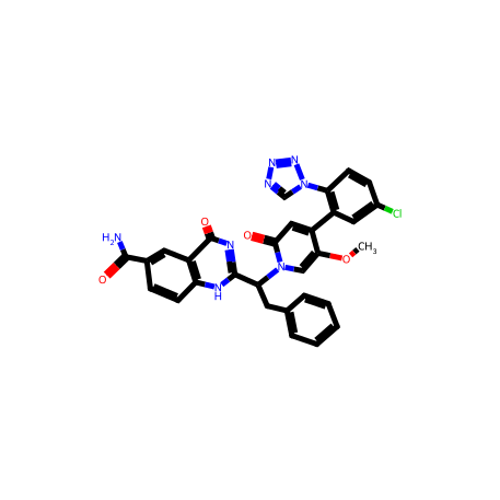 COc1cn(C(Cc2ccccc2)c2nc(=O)c3cc(C(N)=O)ccc3[nH]2)c(=O)cc1-c1cc(Cl)ccc1-n1cnnn1